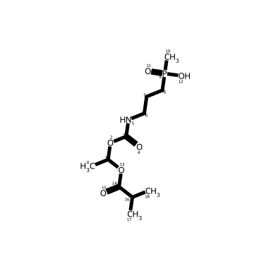 CC(OC(=O)NCCCP(C)(=O)O)OC(=O)C(C)C